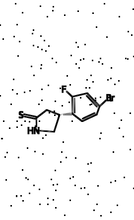 Fc1cc(Br)ccc1[C@@H]1CNC(=S)C1